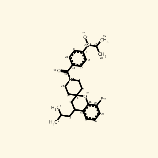 CC(C)CC1CC2(CCN(C(=O)c3ccc([S+]([O-])C(C)C)cc3)CC2)Oc2c(F)cccc21